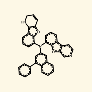 C1=Cc2oc3c(N(c4cc(-c5ccccc5)c5ccccc5c4)c4cccc5c4oc4cnccc45)cccc3c2NC1